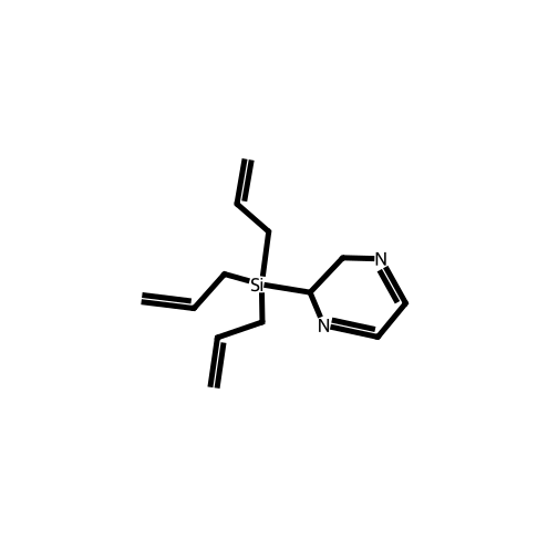 C=CC[Si](CC=C)(CC=C)C1CN=CC=N1